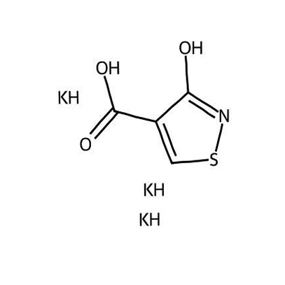 O=C(O)c1csnc1O.[KH].[KH].[KH]